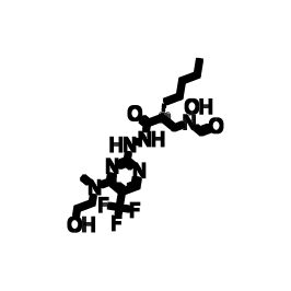 CCCCC[C@H](CN(O)C=O)C(=O)NNc1ncc(C(F)(F)F)c(N(C)CCO)n1